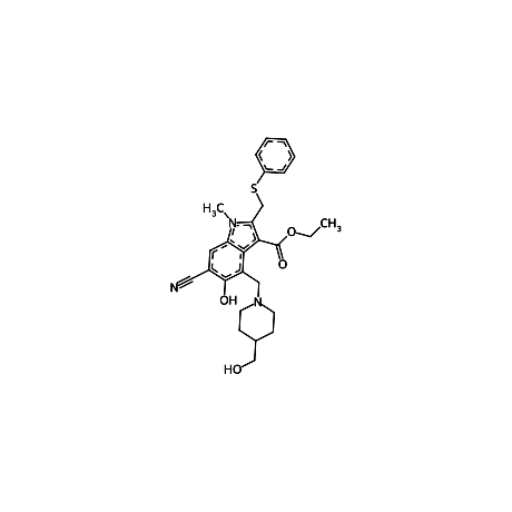 CCOC(=O)c1c(CSc2ccccc2)n(C)c2cc(C#N)c(O)c(CN3CCC(CO)CC3)c12